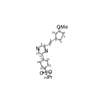 COc1cccc(C#Cc2cncc(-c3ccc(S(=O)(=O)C(C)C)cc3)n2)c1